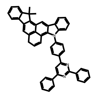 CC1(C)c2ccccc2-c2cc3c4c(c5c(cc4c21)c1ccccc1n5-c1ccc(-c2cc(-c4ccccc4)nc(-c4ccccc4)n2)cc1)C=CC3